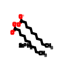 CCCCCCCCCC(=O)[O-].CCCCCCCCCC(=O)[O-].[SnH2+2]